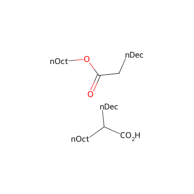 CCCCCCCCCCC(CCCCCCCC)C(=O)O.CCCCCCCCCCCC(=O)OCCCCCCCC